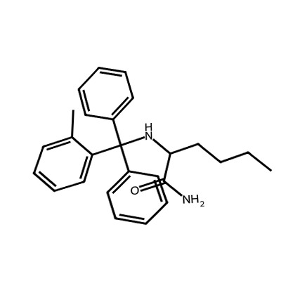 CCCCC(NC(c1ccccc1)(c1ccccc1)c1ccccc1C)C(N)=O